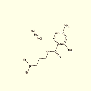 CCN(CC)CCCNC(=O)c1ccc(N)cc1N.Cl.Cl.Cl